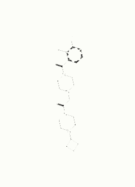 O=C(CN1CCN(C(=O)c2cccc(Cl)c2Cl)CC1)N1CCN(C2CCC2)CC1